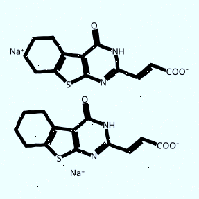 O=C([O-])/C=C/c1nc2sc3c(c2c(=O)[nH]1)CCCC3.O=C([O-])/C=C/c1nc2sc3c(c2c(=O)[nH]1)CCCC3.[Na+].[Na+]